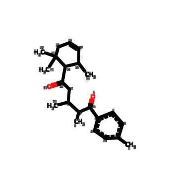 Cc1ccc(C(=O)C(C)C(C)CC(=O)C2C(C)C=CCC2(C)C)cc1